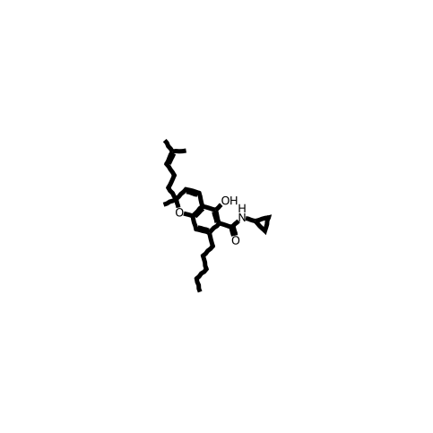 CCCCCc1cc2c(c(O)c1C(=O)NC1CC1)C=CC(C)(CCC=C(C)C)O2